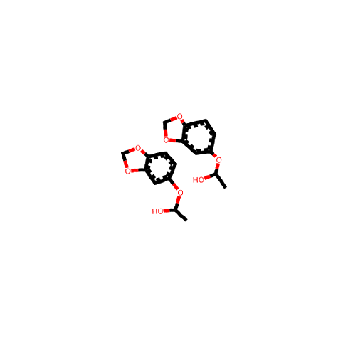 CC(O)Oc1ccc2c(c1)OCO2.CC(O)Oc1ccc2c(c1)OCO2